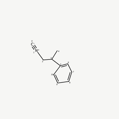 [C-]#[N+]CC(C)c1ccccc1